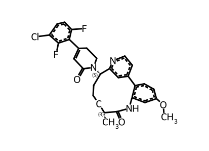 COc1ccc2c(c1)NC(=O)[C@H](C)CCC[C@H](N1CCC(c3c(F)ccc(Cl)c3F)=CC1=O)c1cc-2ccn1